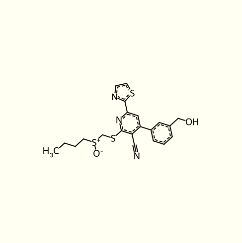 CCCC[S+]([O-])CSc1nc(-c2nccs2)cc(-c2cccc(CO)c2)c1C#N